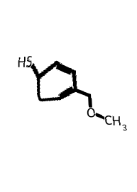 COCC1=CCC(S)C=C1